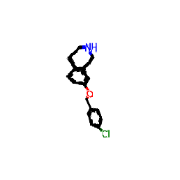 Clc1ccc(COc2ccc3c(c2)CNCC3)cc1